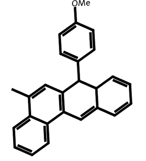 COc1ccc(C2c3cc(C)c4ccccc4c3C=C3C=CC=CC32)cc1